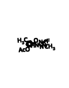 CC(=O)Oc1cc(C)cc(C(=O)Nc2nc(CF)n(C)n2)c1